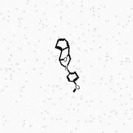 COc1ccc(N2CC3OC(C2)c2ccccc23)cc1